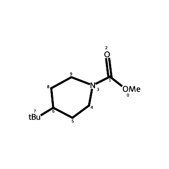 COC(=O)N1CCC(C(C)(C)C)CC1